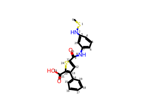 CSNc1cccc(NC(=O)c2cc(-c3ccccc3)c(C(=O)O)s2)c1